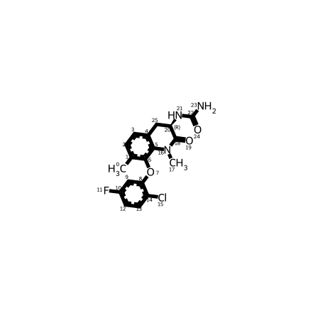 Cc1ccc2c(c1Oc1cc(F)ccc1Cl)N(C)C(=O)[C@H](NC(N)=O)C2